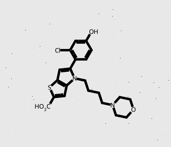 O=C(O)c1cc2c(cc(-c3ccc(O)cc3Cl)n2CCCCN2CCOCC2)s1